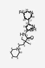 CC(C)(CCN1CCCCC1)C(=O)Nc1cc(-c2cncc(F)c2)n[nH]1